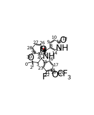 CC1(C)CC(NC(=O)c2ccc(=O)[nH]c2)(c2ccc(OC(F)(F)F)c(F)c2)c2ncccc2O1